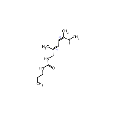 CCCNC(=O)NC/C(C)=C/C=C(/C)NC